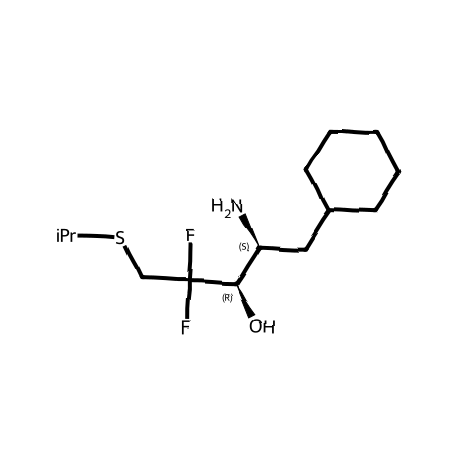 CC(C)SCC(F)(F)[C@H](O)[C@@H](N)CC1CCCCC1